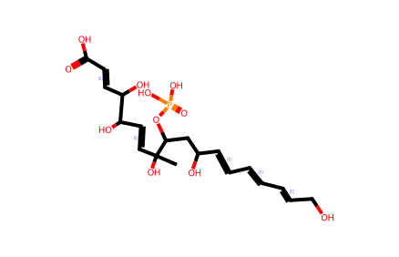 CC(O)(/C=C/C(O)C(O)/C=C/C(=O)O)C(CC(O)/C=C/C=C/C=C/CO)OP(=O)(O)O